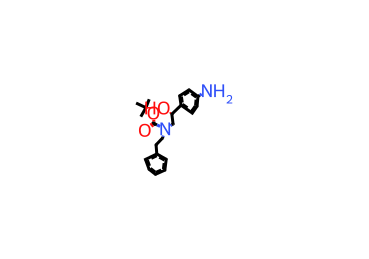 CC(C)(C)OC(=O)N(CCc1ccccc1)C[C@H](O)c1ccc(N)cc1